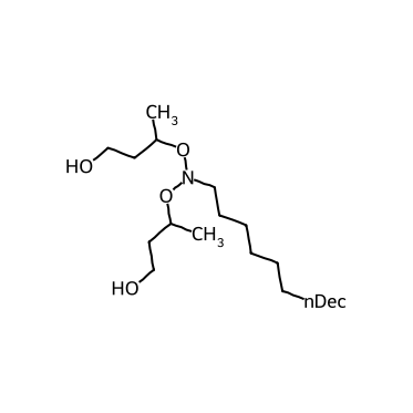 CCCCCCCCCCCCCCCCN(OC(C)CCO)OC(C)CCO